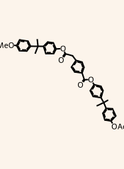 COc1ccc(C(C)(C)c2ccc(OC(=O)Cc3ccc(C(=O)Oc4ccc(C(C)(C)c5ccc(OC(C)=O)cc5)cc4)cc3)cc2)cc1